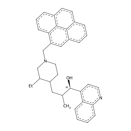 CCC1CN(Cc2cc3cccc4ccc5cccc2c5c43)CCC1CC(C)[C@@H](O)c1ccnc2ccccc12